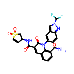 NC(=O)c1cccc2cc(C(=O)NC3C=CS(=O)(=O)C3)c(=O)n(-c3ccc4nn(C(F)F)cc4c3)c12